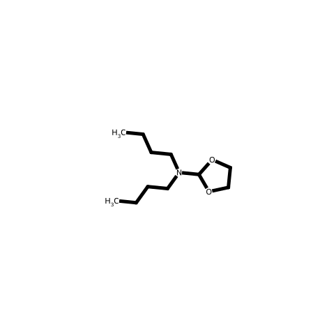 CCCCN(CCCC)[C]1OCCO1